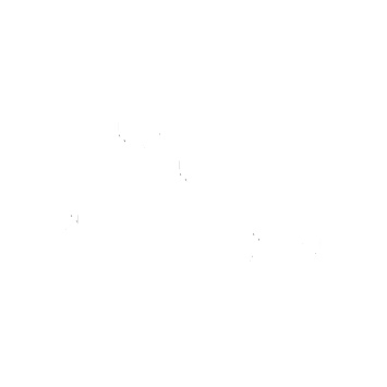 CCOC(=O)CN(C(C)=O)c1ccc(N/C(=C2\C(=O)Nc3ccc(N)cc32)c2ccccc2)cc1